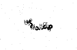 O=C1NC(=O)/C(=C/c2ccnc(N3CCC(CNCc4cc(-c5csc6ccccc56)nc(C(F)(F)F)c4)CC3)n2)S1